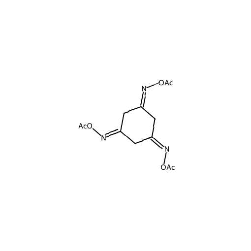 CC(=O)ON=C1CC(=NOC(C)=O)CC(=NOC(C)=O)C1